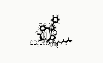 C=CCCCCN(C)C(=O)C1CC(Oc2cc(-c3ccccc3)nc(-c3ccccc3)n2)CC1C(=O)NC1(C(=O)OCC)CC1C=C